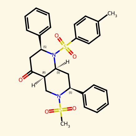 Cc1ccc(S(=O)(=O)N2[C@H](c3ccccc3)CC(=O)[C@@H]3CN(S(C)(=O)=O)[C@H](c4ccccc4)C[C@@H]32)cc1